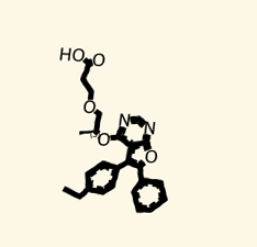 CCc1ccc(-c2c(-c3ccccc3)oc3ncnc(O[C@@H](C)COCCC(=O)O)c23)cc1